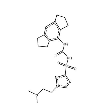 CN(C)CCn1cnc(S(=O)(=O)NC(=O)Nc2c3c(cc4c2CCC4)CCC3)n1